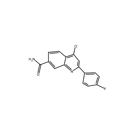 NC(=O)c1ccc2c(Cl)cc(-c3ccc(F)cc3)nc2c1